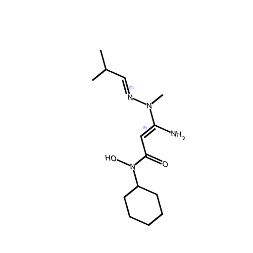 CC(C)/C=N/N(C)/C(N)=C/C(=O)N(O)C1CCCCC1